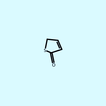 O=C1C=CCS1